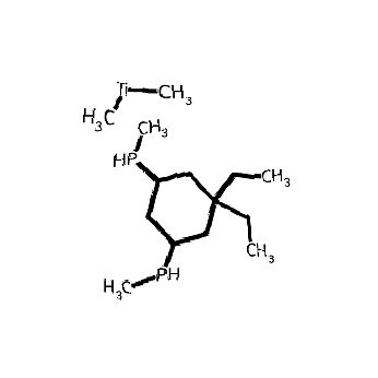 CCC1(CC)CC(PC)CC(PC)C1.[CH3][Ti][CH3]